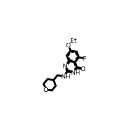 CCOc1cc(F)c2c(=O)[nH]c(NCC3CCOCC3)nc2c1